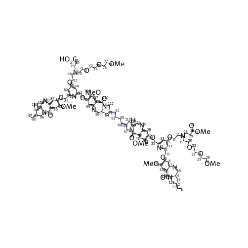 C/C=C1\CC2C=Nc3cc(OCc4cc(OCCN(CCOCCOCCOC)CCC(=O)OC)cc(COc5cc6c(cc5OC)C(=O)N5C/C(=C/CC/C=C7\CC8C=Nc9cc(OCc%10cc(OCCN(CCOCCOCCOC)CCC(=O)O)cc(COc%11cc%12c(cc%11OC)C(=O)N%11C/C(=C/C)C[C@H]%11C=N%12)n%10)c(OC)cc9C(=O)N8C7)C[C@H]5C=N6)n4)c(OC)cc3C(=O)N2C1